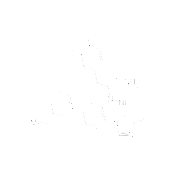 CSc1cccc(-c2ccc(-n3cc(C(F)(F)F)nc3C)c(N(N)/C(=C\N)Cc3ccc(Cl)c(Cl)c3)c2)c1